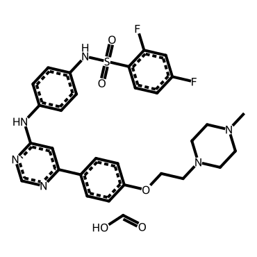 CN1CCN(CCOc2ccc(-c3cc(Nc4ccc(NS(=O)(=O)c5ccc(F)cc5F)cc4)ncn3)cc2)CC1.O=CO